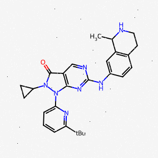 CC1NCCc2ccc(Nc3ncc4c(=O)n(C5CC5)n(-c5cccc(C(C)(C)C)n5)c4n3)cc21